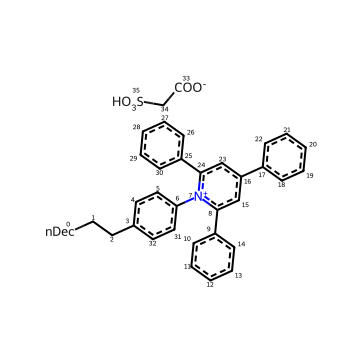 CCCCCCCCCCCCc1ccc(-[n+]2c(-c3ccccc3)cc(-c3ccccc3)cc2-c2ccccc2)cc1.O=C([O-])CS(=O)(=O)O